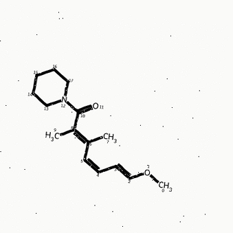 CO/C=C/C=C\C(C)=C(/C)C(=O)N1CCCCC1